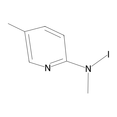 Cc1ccc(N(C)I)nc1